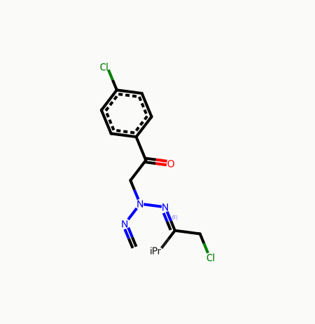 C=NN(CC(=O)c1ccc(Cl)cc1)/N=C(/CCl)C(C)C